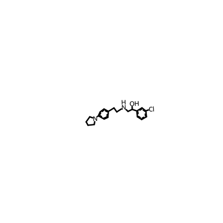 OC(CNCCc1ccc(N2CCCC2)cc1)c1cccc(Cl)c1